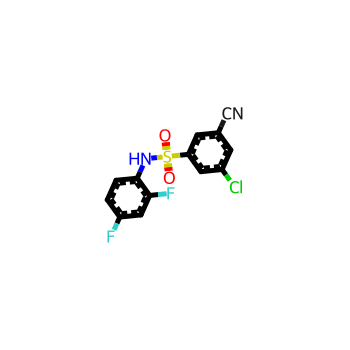 N#Cc1cc(Cl)cc(S(=O)(=O)Nc2ccc(F)cc2F)c1